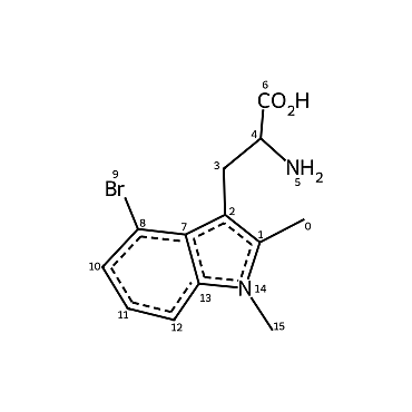 Cc1c(CC(N)C(=O)O)c2c(Br)cccc2n1C